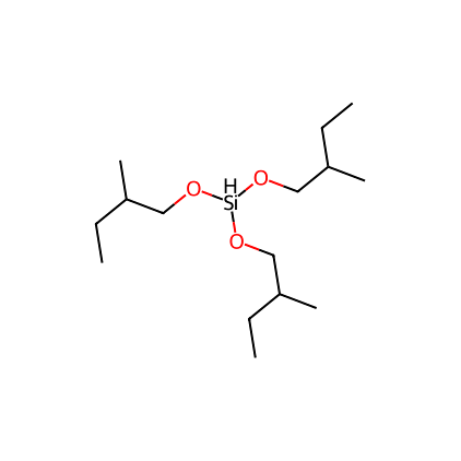 CCC(C)CO[SiH](OCC(C)CC)OCC(C)CC